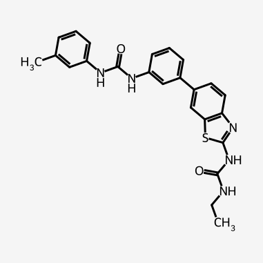 CCNC(=O)Nc1nc2ccc(-c3cccc(NC(=O)Nc4cccc(C)c4)c3)cc2s1